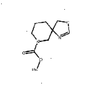 CC(C)(C)OC(=O)N1CCCC2(COC=N2)C1